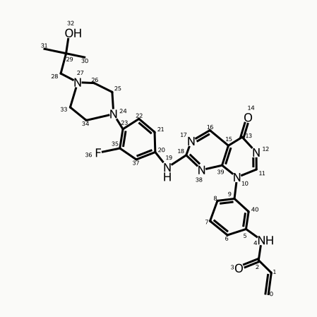 C=CC(=O)Nc1cccc(-n2cnc(=O)c3cnc(Nc4ccc(N5CCN(CC(C)(C)O)CC5)c(F)c4)nc32)c1